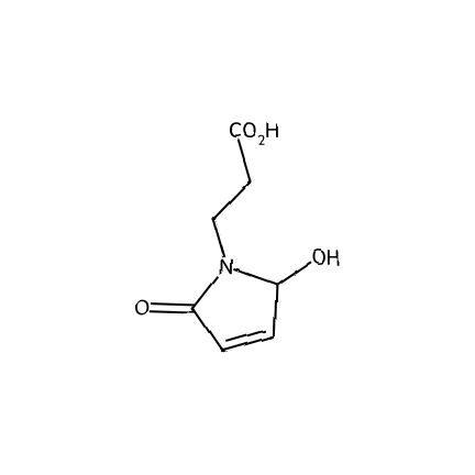 O=C(O)CCN1C(=O)C=CC1O